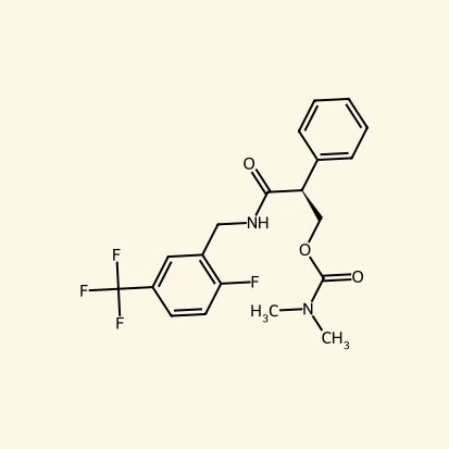 CN(C)C(=O)OC[C@@H](C(=O)NCc1cc(C(F)(F)F)ccc1F)c1ccccc1